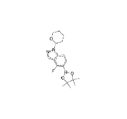 CC1(C)OB(c2ccc3c(cnn3C3CCCCO3)c2F)OC1(C)C